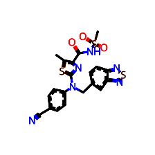 Cc1sc(N(Cc2ccc3nsnc3c2)c2ccc(C#N)cc2)nc1C(=O)NS(C)(=O)=O